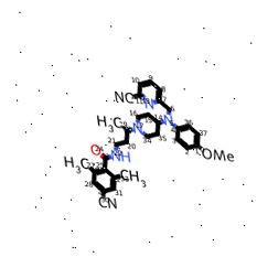 COc1ccc(N(Cc2cccc(C#N)n2)C2CCN([C@H](C)CCNC(=O)c3c(C)cc(C#N)cc3C)CC2)cc1